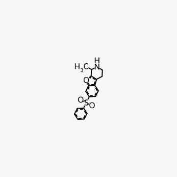 CC1NCCc2c1oc1cc(S(=O)(=O)c3ccccc3)ccc21